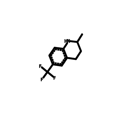 CC1CCc2cc(C(F)(F)F)ccc2N1